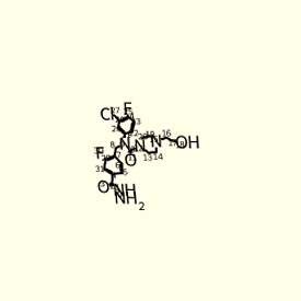 NNC(=O)c1ccc(CN(C(=O)N2CCN(CCO)CC2)c2ccc(F)c(Cl)c2)c(F)c1